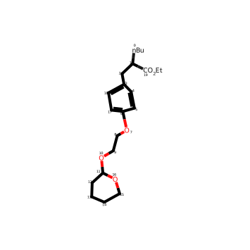 CCCCC(Cc1ccc(OCCOC2CCCCO2)cc1)C(=O)OCC